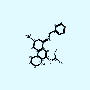 CC(C)(C)C1CC(=NCc2ccccc2)c2cc(OC(F)F)c3c(c2C1)CCCN3